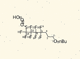 CCCCOCCCC(F)(F)C(F)(F)C(F)(F)C(F)(F)SOOO